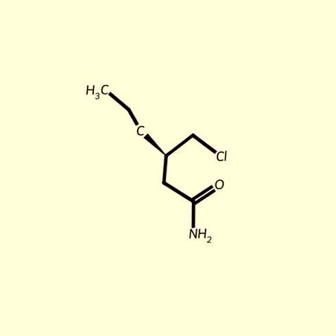 CCC[C@@H](CCl)CC(N)=O